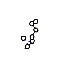 c1ccc(-n2c3ccccc3c3ccc4cc(-c5ccc6c(c5)-c5cccc7cccc(c57)S6)ccc4c32)cc1